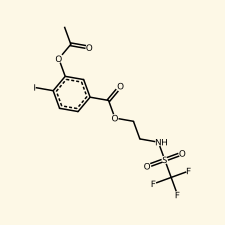 CC(=O)Oc1cc(C(=O)OCCNS(=O)(=O)C(F)(F)F)ccc1I